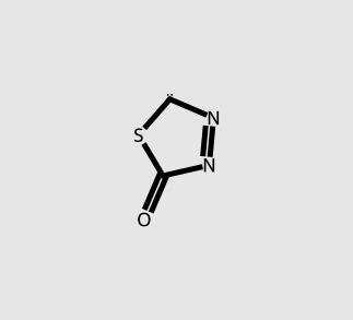 O=C1N=N[C]S1